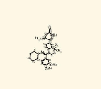 COc1ccc(C(=NC2CCCCC2)N2CCC(C)(C)c3cc(C4=NNC(=O)SC4C)ccc32)cc1OC